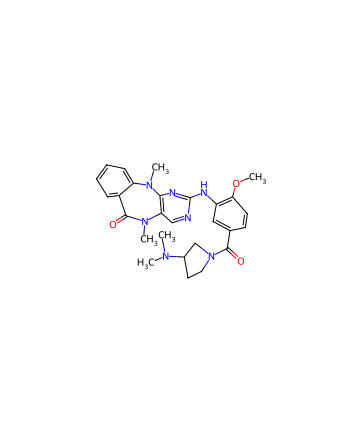 COc1ccc(C(=O)N2CCC(N(C)C)C2)cc1Nc1ncc2c(n1)N(C)c1ccccc1C(=O)N2C